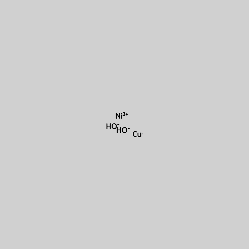 [Cu].[Ni+2].[OH-].[OH-]